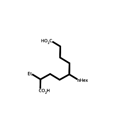 CCCCCCC(CCCC(=O)O)CCC(CC)C(=O)O